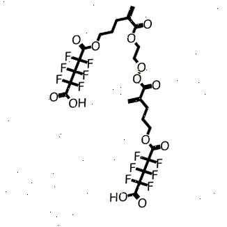 C=C(CCCOC(=O)C(F)(F)C(F)(F)C(F)(F)C(=O)O)C(=O)OCCOOC(=O)C(=C)CCCOC(=O)C(F)(F)C(F)(F)C(F)(F)C(=O)O